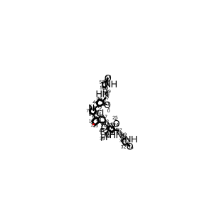 COc1cc(-c2nccc(-c3cccc4c3CCC[C@@H]4Oc3nc(OC)c(CNC[C@@H]4CCC(=O)N4)cc3C(F)(F)F)c2Cl)ccc1CNC[C@@H]1CCC(=O)N1